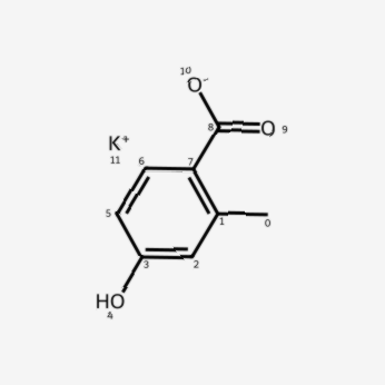 Cc1cc(O)ccc1C(=O)[O-].[K+]